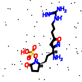 N=C(N)NCCCc1cc([C@@H](N)CC[C@@H]2CCC(=O)N2OS(=O)(=O)O)no1